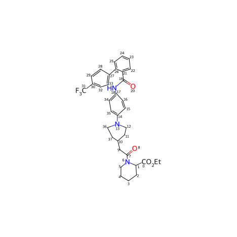 CCOC(=O)C1CCCCN1C(=O)CC1CCN(c2ccc(NC(=O)c3ccccc3-c3ccc(C(F)(F)F)cc3)cc2)CC1